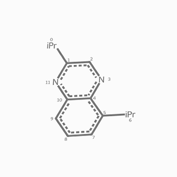 CC(C)c1cnc2c(C(C)C)cccc2n1